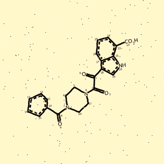 O=C(C(=O)N1CCN(C(=O)c2ccccc2)CC1)c1c[nH]c2c(C(=O)O)cccc12